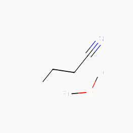 CCCC#N.CCOCC